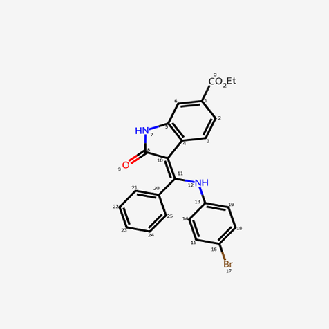 CCOC(=O)c1ccc2c(c1)NC(=O)/C2=C(/Nc1ccc(Br)cc1)c1ccccc1